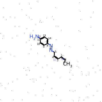 C/C=C\C=C/CN=Nc1ccc(N)cc1